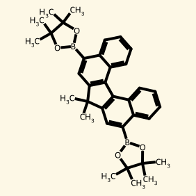 CC1(C)c2cc(B3OC(C)(C)C(C)(C)O3)c3ccccc3c2-c2c1cc(B1OC(C)(C)C(C)(C)O1)c1ccccc21